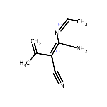 C=C(C)/C(C#N)=C(N)\N=C/C